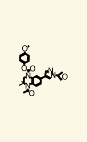 COc1ccc(OC(=O)N2C[C@H](C)N(C(C)=O)c3ccc(-c4cnn(C5COC5)c4)cc32)cc1